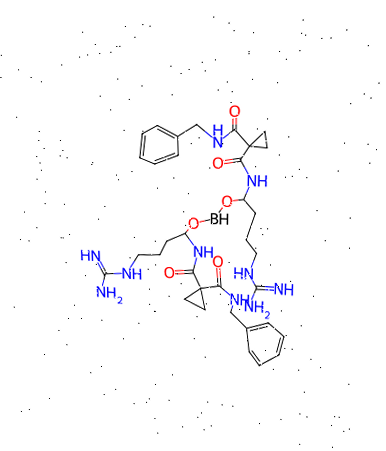 N=C(N)NCCCC(NC(=O)C1(C(=O)NCc2ccccc2)CC1)OBOC(CCCNC(=N)N)NC(=O)C1(C(=O)NCc2ccccc2)CC1